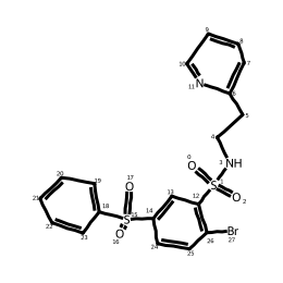 O=S(=O)(NCCc1ccccn1)c1cc(S(=O)(=O)c2ccccc2)ccc1Br